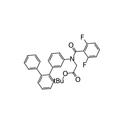 CC(C)(C)OC(=O)CN(C(=O)c1c(F)cccc1F)c1cccc(-c2ccccc2-c2ccccc2)c1